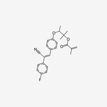 C=C(C)C(=O)OC(C)(C)C(C)Oc1ccc(/C=C(\C#N)c2ccc(F)cc2)cc1